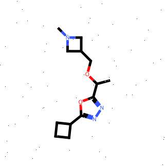 CC(OCC1CN(C)C1)c1nnc(C2CCC2)o1